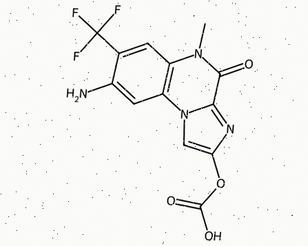 Cn1c(=O)c2nc(OC(=O)O)cn2c2cc(N)c(C(F)(F)F)cc21